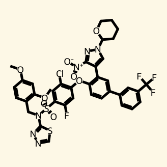 COc1ccc(CN(c2nncs2)S(=O)(=O)c2cc(Cl)c(Oc3ccc(-c4cccc(C(F)(F)F)c4)cc3-c3cn(C4CCCCO4)nc3[N+](=O)[O-])cc2F)c(OC)c1